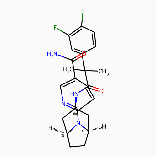 CC(C)(C(=O)N[C@H]1C[C@H]2CC[C@@H](C1)N2c1ccc(C(N)=O)cn1)c1ccc(F)c(F)c1